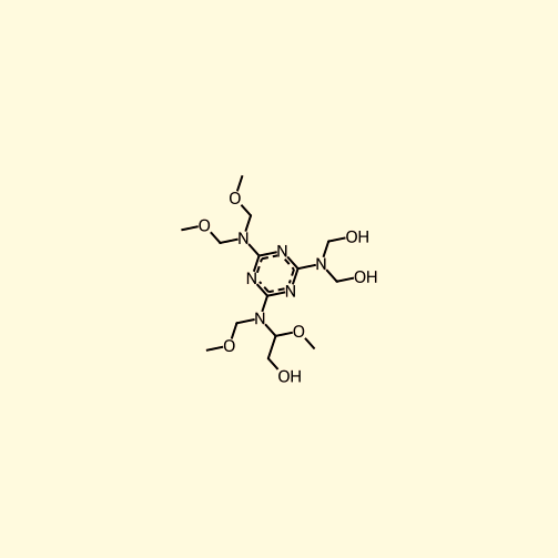 COCN(COC)c1nc(N(CO)CO)nc(N(COC)C(CO)OC)n1